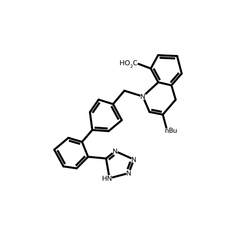 CCCCC1=CN(Cc2ccc(-c3ccccc3-c3nnn[nH]3)cc2)c2c(cccc2C(=O)O)C1